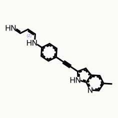 Cc1cnc2[nH]c(C#Cc3ccc(N/C=C\C=N)cc3)cc2c1